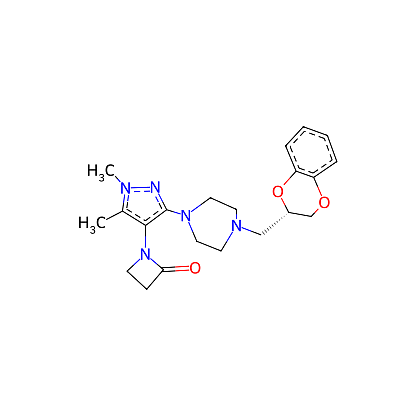 Cc1c(N2CCC2=O)c(N2CCN(C[C@H]3COc4ccccc4O3)CC2)nn1C